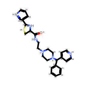 O=C(NCCN1CCN(C(c2ccccc2)c2ccncc2)CC1)C1CSC(c2cccnc2)N1